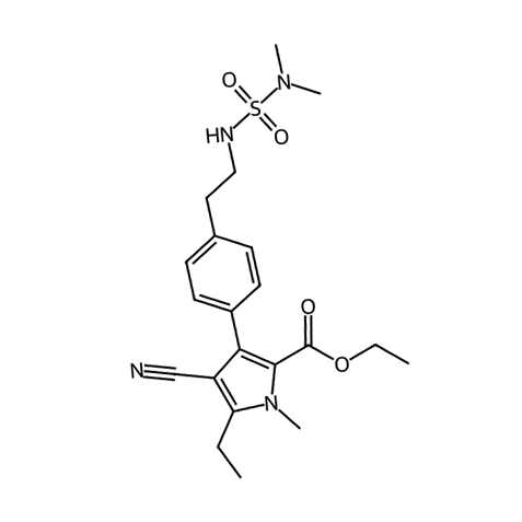 CCOC(=O)c1c(-c2ccc(CCNS(=O)(=O)N(C)C)cc2)c(C#N)c(CC)n1C